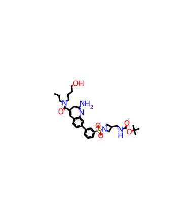 CCCN(CCCCO)C(=O)C1=Cc2ccc(-c3cccc(S(=O)(=O)N4CC(CNC(=O)OC(C)(C)C)C4)c3)cc2N=C(N)C1